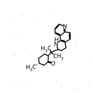 C[C@@H]1CCC(C(C)(C)C2CCc3ccc4ncccc4c3N2)C(=O)C1